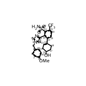 COc1ccc(Cn2nnc(-c3c(C4=CC[C@H](O)CC4)ccc(C(F)(F)F)c3S(N)(=O)=O)n2)cc1